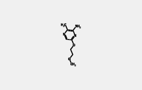 COCCOc1cnc(C)c(N)n1